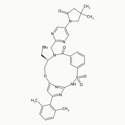 Cc1cccc(C)c1-c1cc2nc(n1)NS(=O)(=O)c1cccc(c1)C(=O)N(Cc1ncc(N3CC(C)(C)CC3=O)cn1)[C@H](CC(C)(C)C)CO2